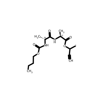 C#CC(I)OC(=O)[C@H](C)NC(=O)[C@@H](C)NC(=O)OCCCC